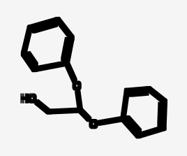 OCC(Oc1ccccc1)Oc1ccccc1